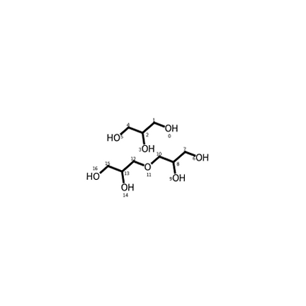 OCC(O)CO.OCC(O)COCC(O)CO